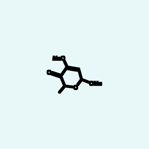 COC1=CC(OC)OC(C)C1=O